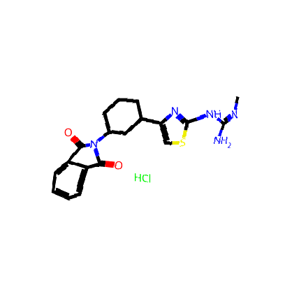 C/N=C(/N)Nc1nc(C2CCCC(N3C(=O)c4ccccc4C3=O)C2)cs1.Cl